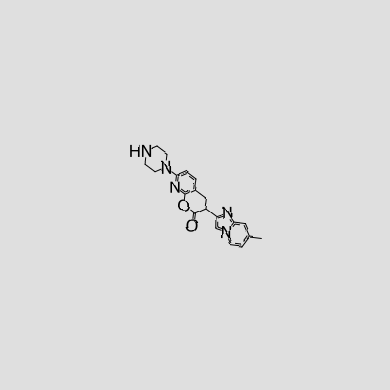 Cc1ccn2cc(C3Cc4ccc(N5CCNCC5)nc4OC3=O)nc2c1